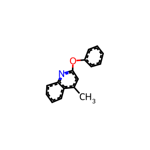 Cc1cc(Oc2ccccc2)nc2ccccc12